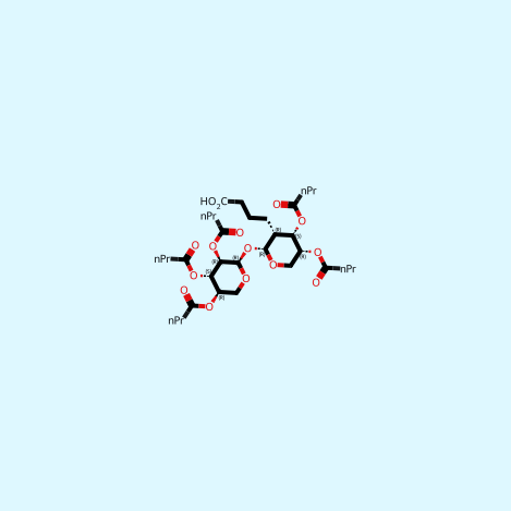 CCCC(=O)O[C@@H]1[C@@H](OC(=O)CCC)[C@@H](O[C@H]2OC[C@@H](OC(=O)CCC)[C@@H](OC(=O)CCC)[C@H]2CCCC(=O)O)OC[C@H]1OC(=O)CCC